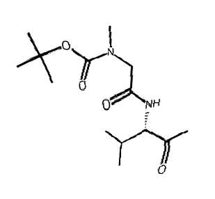 CC(=O)[C@@H](NC(=O)CN(C)C(=O)OC(C)(C)C)C(C)C